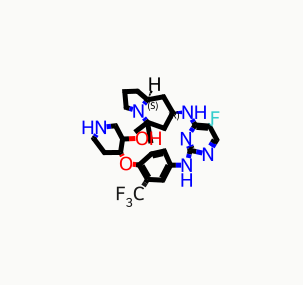 CC1(C)C[C@H](Nc2nc(Nc3ccc(OC4CCNCC4O)c(C(F)(F)F)c3)ncc2F)C[C@@H]2CCCN21